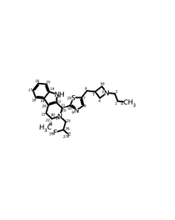 CCCN1CC(Cc2cnc([C@@H]3c4[nH]c5ccccc5c4C[C@@H](C)N3CC(F)F)s2)C1